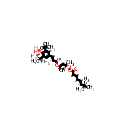 CC(CC(C)(C)OOC(=O)CCCCCC(C)(C)C)OC(=O)CCc1cc(C(C)(C)C)c(O)c(C(C)(C)C)c1